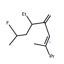 C=C(/C=C(\C)C(C)C)C(CC)CC(C)F